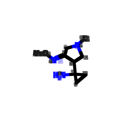 CCN1C/C(=N\OC)C(C2(N)CC2)C1